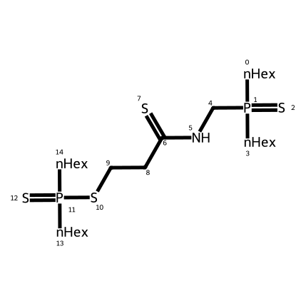 CCCCCCP(=S)(CCCCCC)CNC(=S)CCSP(=S)(CCCCCC)CCCCCC